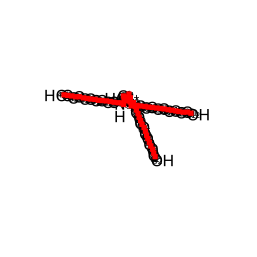 O=S(=O)(O)c1ccccc1[C+](c1ccc(NCCOCCOCCOCCOCCOCCOCCOCCOCCOCCO)cc1)c1ccc(N(CCOCCOCCOCCOCCOCCOCCOCCOCCOCCO)CCOCCOCCOCCOCCOCCOCCOCCOCCOCCO)cc1